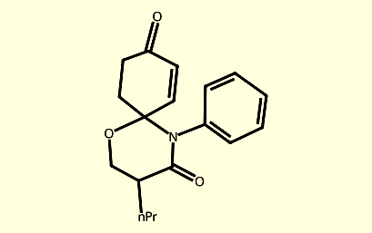 CCCC1COC2(C=CC(=O)CC2)N(c2ccccc2)C1=O